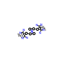 CC1(C)C(=C(C#N)C#N)c2ccc(-c3ccc4c5ccccc5n(-n5c6ccccc6c6ccc(-c7ccc8c(c7)C(=C(C#N)C#N)C(C)(C)C8=C(C#N)C#N)cc65)c4c3)cc2C1=C(C#N)C#N